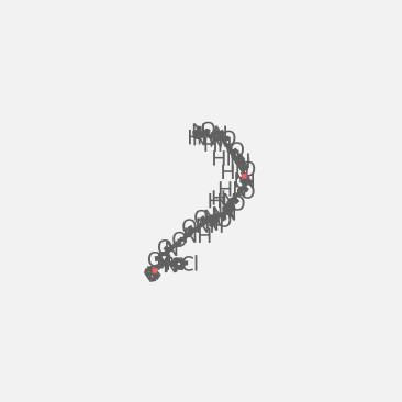 Cn1cc(NC(=O)c2nccn2C)nc1C(=O)NCCC(=O)Nc1cn(C)c(C(=O)Nc2cn(C)c(C(=O)NCCC(=O)Nc3cn(C)c(C(=O)Nc4cn(C)c(C(=O)NCCC(=O)NCCOCCNC(=O)C5CC(=O)N(CCC67CC8CC(CC(C8)C6)C7)/C(=N/c6ccc(Cl)cc6)S5)n4)n3)n2)n1